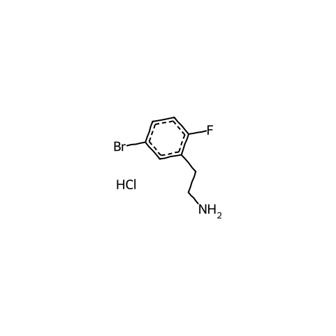 Cl.NCCc1cc(Br)ccc1F